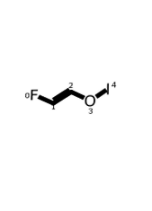 FC=COI